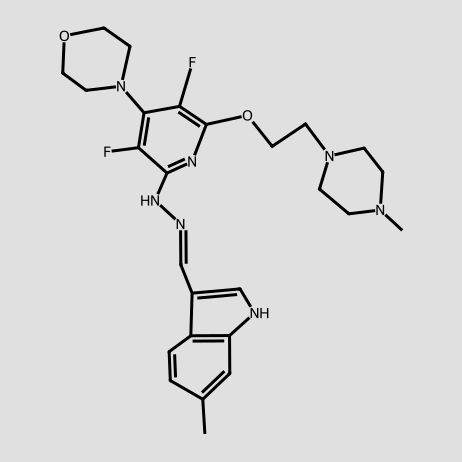 Cc1ccc2c(/C=N/Nc3nc(OCCN4CCN(C)CC4)c(F)c(N4CCOCC4)c3F)c[nH]c2c1